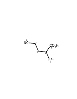 CCCC(CCC#N)C(=O)O